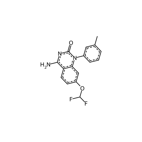 Cc1cccc(-n2c(=O)nc(N)c3ccc(OC(F)F)cc32)c1